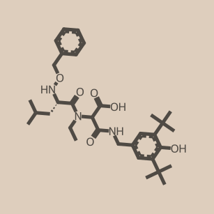 CCN(C(=O)[C@H](CC(C)C)NOCc1ccccc1)C(C(=O)O)C(=O)NCc1cc(C(C)(C)C)c(O)c(C(C)(C)C)c1